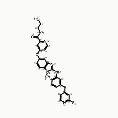 Cn1c(Nc2cccc(Cc3ccnc(F)c3)c2)nc2cc(Oc3ccnc(C(=O)NCCO)c3)ccc21